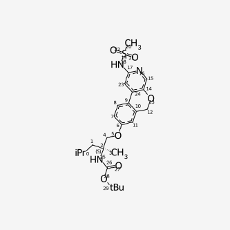 CC(C)C[C@@](C)(COc1ccc2c(c1)COc1cnc(NS(C)(=O)=O)cc1-2)NC(=O)OC(C)(C)C